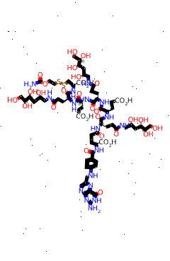 NC(=O)OCCSSC[C@@H](NC(=O)[C@H](CCC(=O)NC[C@H](O)C[C@H](O)[C@H](O)CO)NC(=O)[C@@H](CCC(=O)O)NC(=O)[C@H](CCC(=O)NC[C@H](O)C[C@H](O)[C@H](O)CO)NC(=O)[C@@H](CCC(=O)O)NC(=O)[C@H](CCC(=O)NC[C@H](O)C[C@H](O)[C@H](O)CO)NC(=O)CC[C@@H](NC(=O)c1ccc(NCc2cnc3nc(N)[nH]c(=O)c3n2)cc1)C(=O)O)C(=O)O